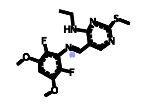 CCNc1nc(SC)ncc1/C=N/c1c(F)c(OC)cc(OC)c1F